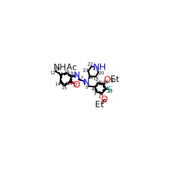 CCOc1cc(CN(c2nc3cc(CNC(C)=O)ccc3o2)C2CCNCC2)cc(OCC)c1F